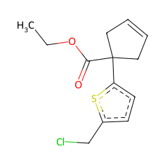 CCOC(=O)C1(c2ccc(CCl)s2)CC=CC1